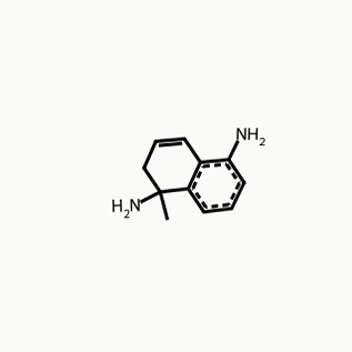 CC1(N)CC=Cc2c(N)cccc21